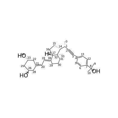 C[C@H](C#Cc1ccc(C(C)(C)O)cc1)[C@H]1CC[C@H]2/C(=C/C=C3C[C@@H](O)C[C@H](O)C3)CCC[C@]12C